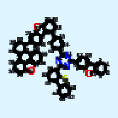 c1ccc2c(c1)oc1cc(-c3nc(-c4ccc(-c5cccc6oc7cc(-c8cccc9c%10cccc%11oc%12cccc(c89)c%12c%11%10)ccc7c56)cc4)nc(-c4cccc5c4sc4ccccc45)n3)ccc12